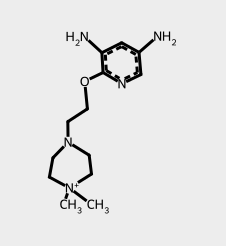 C[N+]1(C)CCN(CCOc2ncc(N)cc2N)CC1